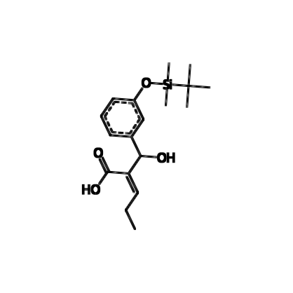 CCC=C(C(=O)O)C(O)c1cccc(O[Si](C)(C)C(C)(C)C)c1